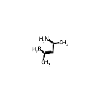 B/C(C)=C\C(C)N